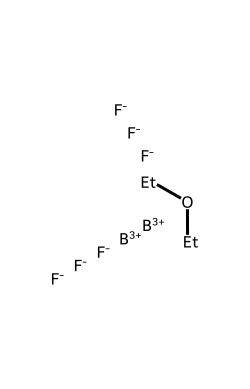 CCOCC.[B+3].[B+3].[F-].[F-].[F-].[F-].[F-].[F-]